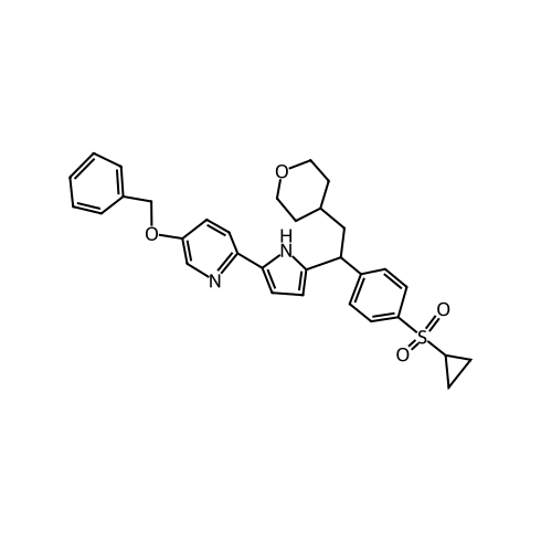 O=S(=O)(c1ccc(C(CC2CCOCC2)c2ccc(-c3ccc(OCc4ccccc4)cn3)[nH]2)cc1)C1CC1